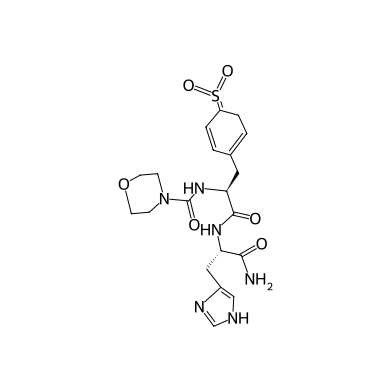 NC(=O)[C@H](Cc1c[nH]cn1)NC(=O)[C@H](CC1=CCC(=S(=O)=O)C=C1)NC(=O)N1CCOCC1